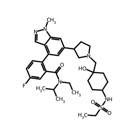 CCN(C(=O)c1cc(F)ccc1-c1cc(C2CCN(CC3(O)CCC(NS(=O)(=O)CC)CC3)C2)cc2c1cnn2C)C(C)C